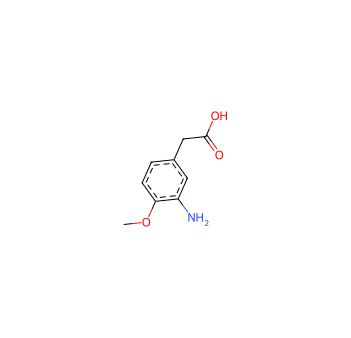 COc1ccc(CC(=O)O)cc1N